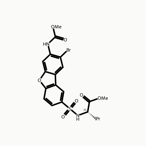 COC(=O)Nc1cc2oc3ccc(S(=O)(=O)N[C@H](C(=O)OC)C(C)C)cc3c2cc1Br